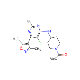 CCc1nc(NC2CCN(C(=O)OC)CC2)c(Cl)c(-c2c(C)noc2C)n1